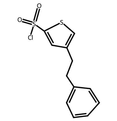 O=S(=O)(Cl)c1cc(CCc2ccccc2)cs1